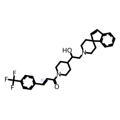 O=C(/C=C/c1ccc(C(F)(F)F)cc1)N1CCC(C(O)CN2CCC3(C=Cc4ccccc43)CC2)CC1